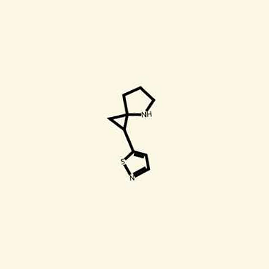 c1cc(C2CC23CCCN3)sn1